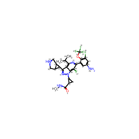 CNC(=O)C1CC1n1nc(C2C3CNCC32)c2c(C(C)C)nc(-c3cc(N)cc(F)c3OC(F)(F)F)c(F)c21